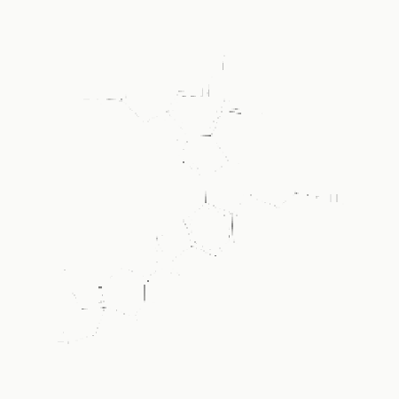 CCCOc1ccc(S(=O)(=O)N2CCC(CO)(CO)CC2)cc1C1=Nc2c(CCC)cn(C)c(=O)c2C1